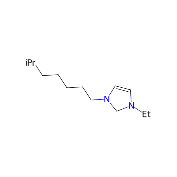 CCN1C=CN(CCCCCC(C)C)C1